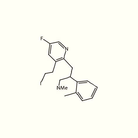 CNCC(Cc1ncc(F)cc1CCI)c1ccccc1C